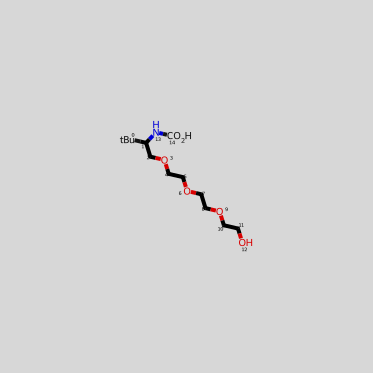 CC(C)(C)C(COCCOCCOCCO)NC(=O)O